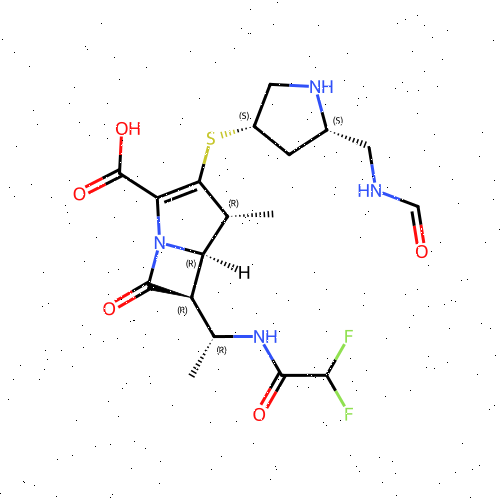 C[C@@H](NC(=O)C(F)F)[C@H]1C(=O)N2C(C(=O)O)=C(S[C@@H]3CN[C@H](CNC=O)C3)[C@H](C)[C@@H]12